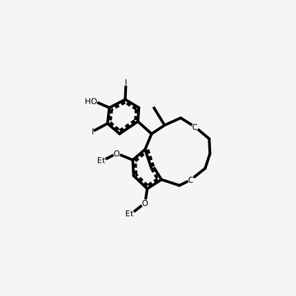 CCOc1cc(OCC)c2cc1CCCCCCCC(C)C2c1cc(I)c(O)c(I)c1